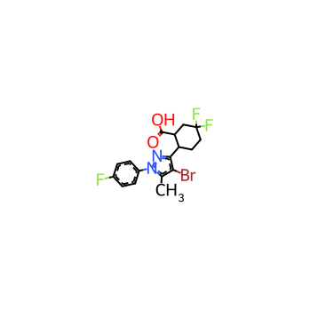 Cc1c(Br)c(C2CCC(F)(F)CC2C(=O)O)nn1-c1ccc(F)cc1